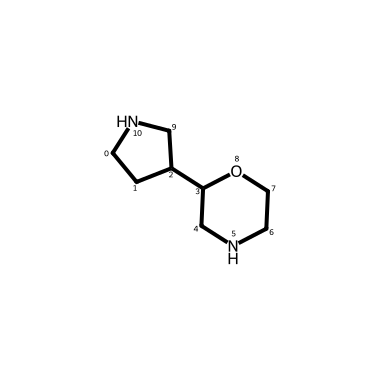 C1CC(C2CNCCO2)CN1